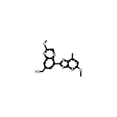 COc1cnc2c(-c3nc4c(C)cc(OC)nc4s3)cc(CO)cc2n1